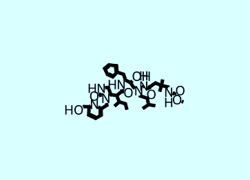 CCC(C)C(C(=O)NC(Cc1ccccc1)C(O)CN(CCC(C)C)NC(=O)CC(C)(C)CNC(=O)OC)C1CNC(=O)N1Cc1cccc(CO)n1